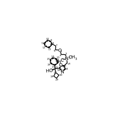 C[N+](C)(CCOCCc1ccccc1)Cc1cnc(C(O)(c2ccccc2)C2CCC2)o1